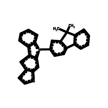 CC1(C)c2ccccc2-c2ccc(-n3c4ccccc4c4cc5ccsc5cc43)cc21